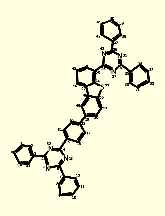 c1ccc(-c2nc(-c3ccccc3)nc(-c3ccc(-c4ccc5sc6c(-c7nc(-c8ccccc8)nc(-c8ccccc8)n7)cccc6c5c4)cc3)n2)cc1